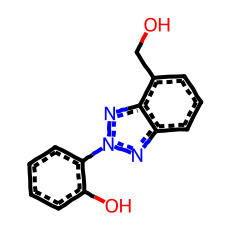 OCc1cccc2nn(-c3ccccc3O)nc12